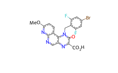 COc1ccc2c(ncc3nc(C(=O)O)c(=O)n(Cc4c(F)cc(Br)cc4F)c32)n1